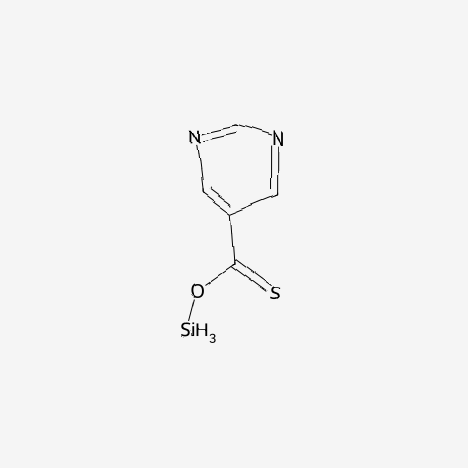 [SiH3]OC(=S)c1cncnc1